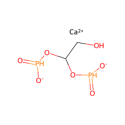 O=[PH]([O-])OC(CO)O[PH](=O)[O-].[Ca+2]